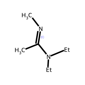 CCN(CC)/C(C)=N/C